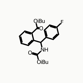 CC(C)COC(=O)NC(c1ccc(F)cc1)c1ccccc1C(=O)OCC(C)C